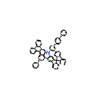 c1ccc(-c2ccc(-c3ccc(N(c4ccc5c6ccccc6c6ccccc6c5c4)c4cc5c(cc4-c4cccc(-c6ccccc6)c4)-c4ccccc4C54c5ccccc5-c5ccccc54)cc3)cc2)cc1